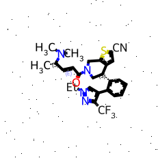 CCn1cc(-c2ccccc2[C@@H]2CN(C(=O)/C=C/[C@H](C)N(C)C)Cc3sc(C#N)cc32)c(C(F)(F)F)n1